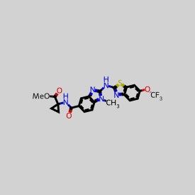 COC(=O)C1(NC(=O)c2ccc3c(c2)nc(Nc2nc4ccc(OC(F)(F)F)cc4s2)n3C)CC1